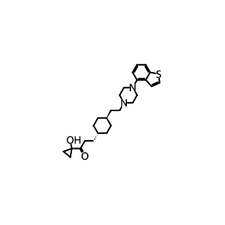 O=C(CC[C@H]1CC[C@H](CCN2CCN(c3cccc4sccc34)CC2)CC1)C1(O)CC1